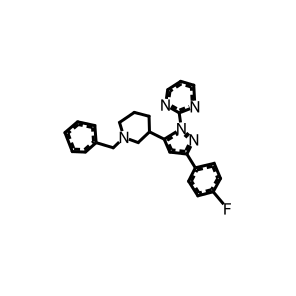 Fc1ccc(-c2cc(C3CCCN(Cc4ccccc4)C3)n(-c3ncccn3)n2)cc1